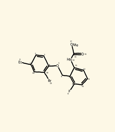 CCc1ccc(OCc2c(F)cccc2NC(=O)OC)c(Br)c1